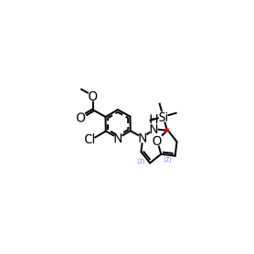 COC(=O)c1ccc(N2/C=C\C(OC[Si](C)(C)C)=C\CCN2)nc1Cl